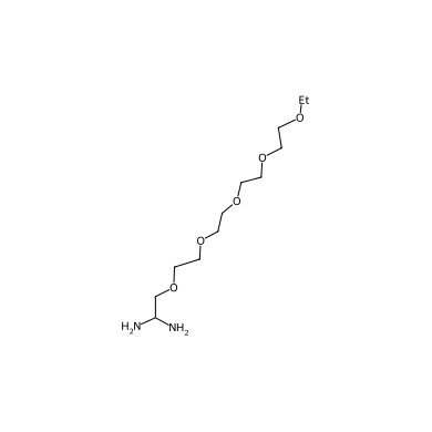 CCOCCOCCOCCOCCOCC(N)N